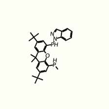 CPc1cc(C(C)(C)C)cc2c1Oc1c(Pn3ncc4ccccc43)cc(C(C)(C)C)cc1C2(C)C